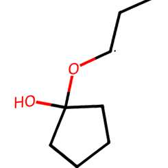 CC[CH]OC1(O)CCCC1